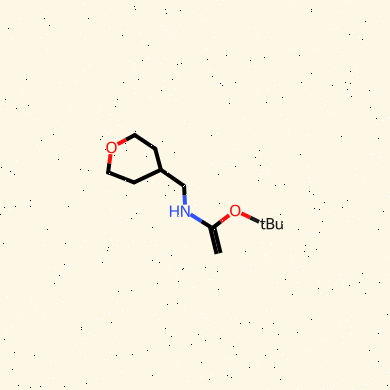 C=C(NCC1CCOCC1)OC(C)(C)C